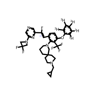 [2H]c1c([2H])c([2H])c(Oc2ccc(/C=C(\F)c3cncc(N4CC(F)(F)C4)n3)c(N3CCCC4(CCN(CC5CC5)CC4)C3)c2C(F)(F)F)c([2H])c1[2H]